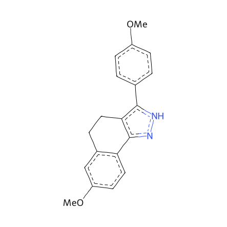 COc1ccc(-c2[nH]nc3c2CCc2cc(OC)ccc2-3)cc1